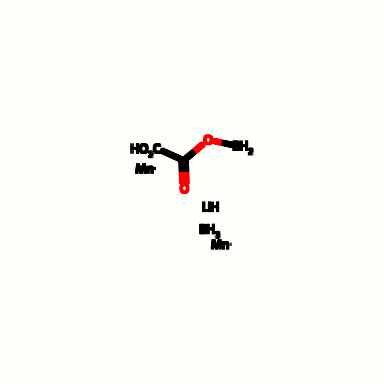 B.BOC(=O)C(=O)O.[LiH].[Mn].[Mn]